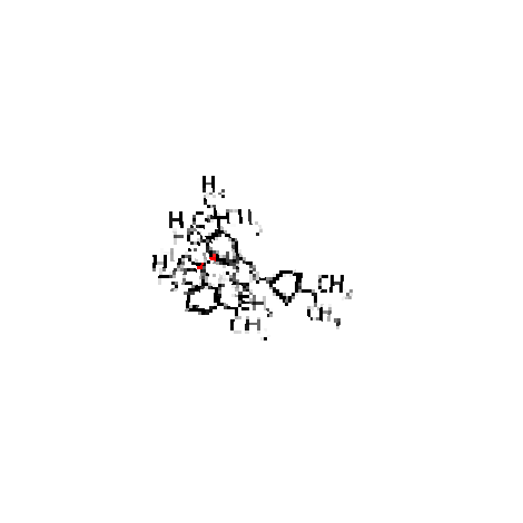 CC(C)c1ccc(N(Cc2cc(C(C)(C)C)c(O)c(C(C)(C)C)c2)C(=O)Nc2c(C(C)C)cccc2C(C)C)cc1